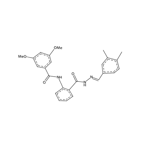 COc1cc(OC)cc(C(=O)Nc2ccccc2C(=O)N/N=C/c2ccc(C)c(C)c2)c1